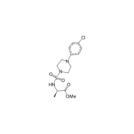 COC(=O)[C@@H](C)NS(=O)(=O)N1CCN(c2ccc(Cl)cc2)CC1